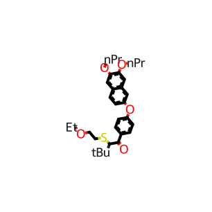 CCCOc1cc2ccc(Oc3ccc(C(=O)C(SCCOCC)C(C)(C)C)cc3)cc2cc1OCCC